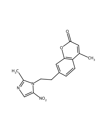 Cc1cc(=O)oc2cc(CCn3c([N+](=O)[O-])cnc3C)ccc12